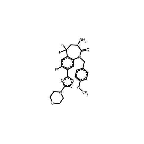 N[C@@H]1CC(F)(F)c2cc(F)c(-c3nnc(N4CCOCC4)o3)cc2N(Cc2ccc(OC(F)(F)F)cc2)C1=O